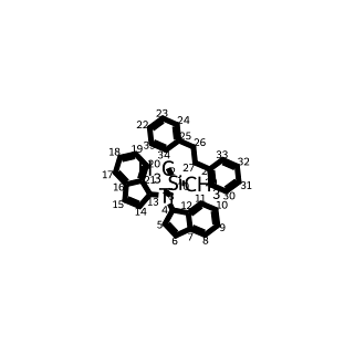 C[Si](C)=[Ti]([CH]1C=Cc2ccccc21)[CH]1C=Cc2ccccc21.c1ccc(CCc2ccccc2)cc1